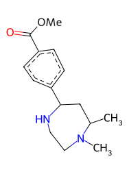 COC(=O)c1ccc(C2CC(C)N(C)CCN2)cc1